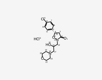 Cl.O=C1C[C@@H](c2ccc(Cl)cc2)ON1CC(O)CN1CCOCC1